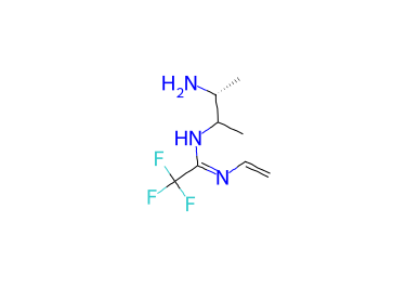 C=C/N=C(\NC(C)[C@@H](C)N)C(F)(F)F